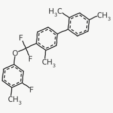 Cc1ccc(-c2ccc(C(F)(F)Oc3ccc(C)c(F)c3)c(C)c2)c(C)c1